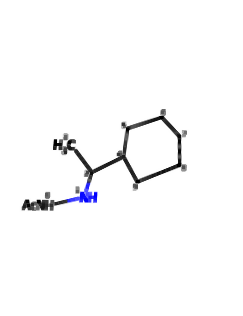 CC(=O)NNC(C)C1CCCCC1